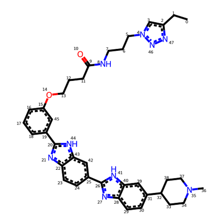 CCc1cn(CCCNC(=O)CCCOc2cccc(-c3nc4ccc(-c5nc6ccc(C7CCN(C)CC7)cc6[nH]5)cc4[nH]3)c2)nn1